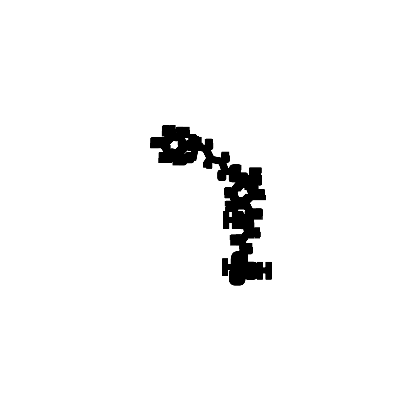 CC(C)(CCCCSc1ccc(CNCCCO[PH](=O)O)cc1F)c1ccccc1